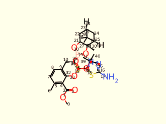 COC(=O)c1c(C)ccc(C[C@H](Sc2nnc(N)s2)B2OC3C[C@@H]4C[C@@H](C4(C)C)[C@]3(C)O2)c1OC(=O)OC(C)(C)C